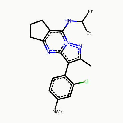 CCC(CC)Nc1c2c(nc3c(-c4ccc(NC)cc4Cl)c(C)nn13)CCC2